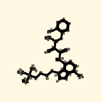 CC(C)c1ccccc1CN(C)C(=O)C(=O)Nc1cnc(N)c2cnn(COCC[Si](C)(C)C)c12